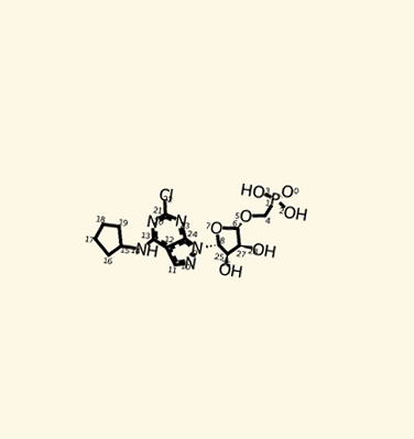 O=P(O)(O)CO[C@H]1O[C@@H](n2ncc3c(NC4CCCC4)nc(Cl)nc32)[C@H](O)[C@@H]1O